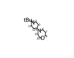 CC(C)(C)N1CCC(N2CCCOCC2)CC1